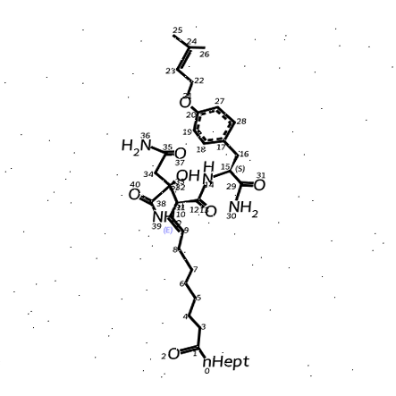 CCCCCCCC(=O)CCCCCC/C=C/[C@H](C(=O)N[C@@H](Cc1ccc(OCC=C(C)C)cc1)C(N)=O)[C@@](O)(CC(N)=O)C(N)=O